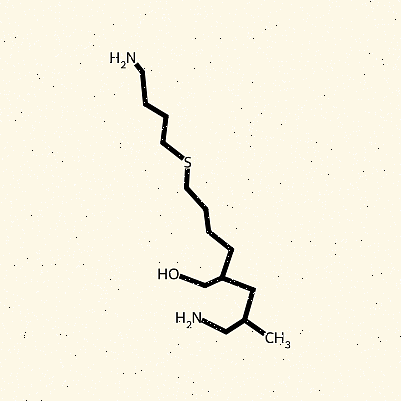 CC(CN)CC(CO)CCCCSCCCCN